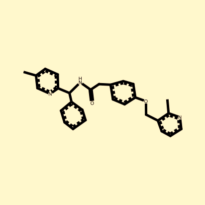 Cc1ccc(C(NC(=O)Cc2ccc(OCc3cccnc3C)cc2)c2ccccc2)nc1